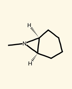 CN1[C@@H]2CCCC[C@@H]21